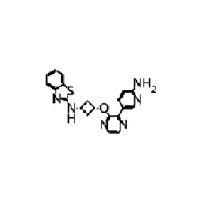 Nc1ccc(-c2nccnc2O[C@H]2C[C@@H](Nc3nc4ccccc4s3)C2)cn1